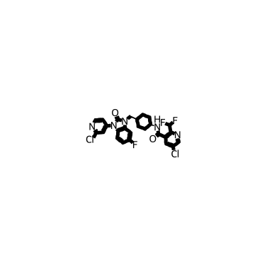 O=C(N[C@H]1CC[C@H](Cn2c(=O)n(-c3ccnc(Cl)c3)c3ccc(F)cc32)CC1)c1cc(Cl)cnc1C(F)F